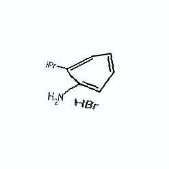 Br.CC(C)c1ccccc1N